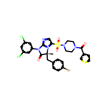 C[C@@]1(Cc2ccc(Br)cc2)C(=O)N(c2cc(Cl)cc(Cl)c2)c2ncc(S(=O)(=O)N3CCN(C(=O)c4ccsc4)CC3)n21